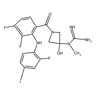 CN(C(=N)N)C1(O)CN(C(=O)c2ccc(F)c(F)c2Nc2ccc(I)cc2F)C1